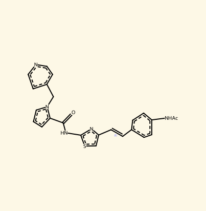 CC(=O)Nc1ccc(/C=C/c2csc(NC(=O)c3cccn3Cc3ccncc3)n2)cc1